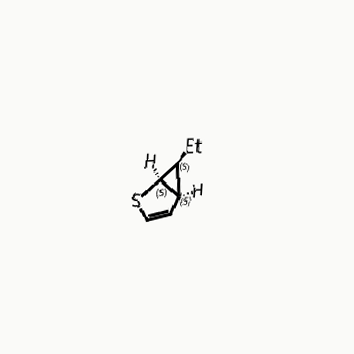 CC[C@H]1[C@H]2C=CS[C@H]21